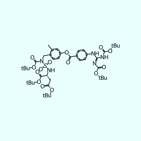 Cc1cc(OC(=O)c2ccc(NC(=NC(=O)OC(C)(C)C)NC(=O)OC(C)(C)C)cc2)ccc1CN(C(=O)OC(C)(C)C)S(=O)(=O)N[C@@H](CC(=O)OC(C)(C)C)C(=O)OC(C)(C)C